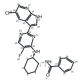 O=C(N[C@@H]1CCCC[C@H]1Nc1nc(-c2c[nH]c3ncc(Cl)cc23)ncc1F)c1ccccc1